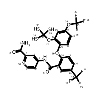 NC(=O)c1cc(NC(=O)c2cc(C(F)(F)F)ccc2Oc2ccc(OC(F)(F)F)cc2OC(S)(S)S)ccn1